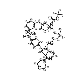 CC(C)(C)OC(=O)N[C@@H]1CCCN(Cc2cccc(S(=O)(=O)Nc3ccc(-c4cc5c(N6CCOCC6)ncnc5n4COCC[Si](C)(C)C)cc3)c2)C1